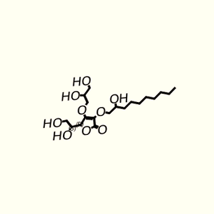 CCCCCCCCC(O)COC1=C(OCC(O)CO)[C@@H]([C@@H](O)CO)OC1=O